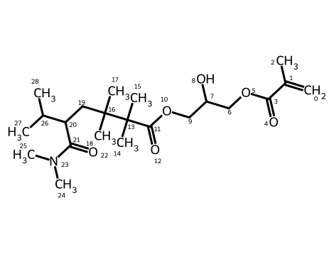 C=C(C)C(=O)OCC(O)COC(=O)C(C)(C)C(C)(C)CC(C(=O)N(C)C)C(C)C